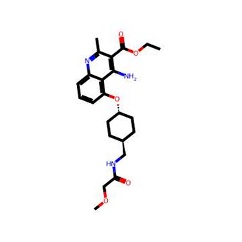 CCOC(=O)c1c(C)nc2cccc(O[C@H]3CC[C@H](CNC(=O)COC)CC3)c2c1N